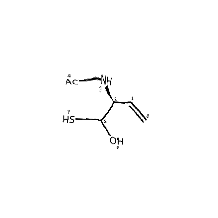 C=C[C@H](NC(C)=O)C(O)S